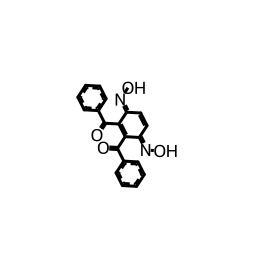 O=C(C1=C(C(=O)c2ccccc2)C(=NO)C=CC1=NO)c1ccccc1